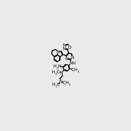 Cc1cc(N(C)CCN(C)C)c(N)cc1Nc1ncc(-c2nnco2)c(-c2cn3c4c(cccc24)CCC3)n1